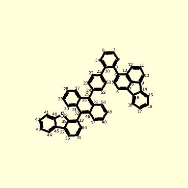 c1ccc(-c2ccc3c4c(cccc24)-c2ccccc2-3)c(-c2ccc(-c3c4ccccc4c(-c4cccc5c4sc4ccccc45)c4ccccc34)cc2)c1